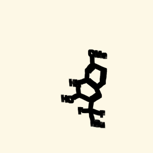 CCCCC(F)(F)C1=Cc2ccc(OC)cc2NC1O